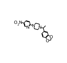 CC(c1ccc2c(c1)OCO2)N1CCN(c2ccc([N+](=O)[O-])cn2)CC1